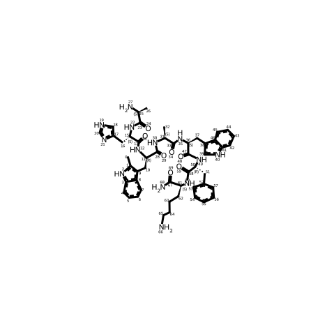 Cc1[nH]c2ccccc2c1C[C@@H](NC(=O)[C@H](Cc1c[nH]cn1)NC(=O)[C@H](C)N)C(=O)N[C@@H](C)C(=O)N[C@@H](Cc1c[nH]c2ccccc12)C(=O)N[C@H](Cc1ccccc1)C(=O)N[C@@H](CCCCN)C(N)=O